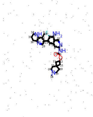 Cc1c(-c2cc3cc(NC(=O)OC4CC5(CCN(C)CC5)C4)ncc3c(N)c2F)cnc2c1NCCC2